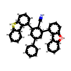 N#Cc1c(-c2cccc3oc4ccccc4c23)cc(-c2ccccc2)cc1-c1cccc2sc3ccccc3c12